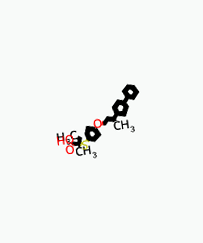 CC[C@@](C)(Sc1ccc(OC/C=C(\C)c2ccc(-c3ccccc3)cc2)cc1)C(=O)O